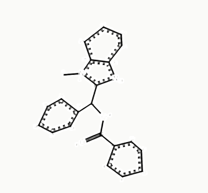 Cn1c(C(OC(=O)c2ccccc2)c2ccccc2)nc2ccccc21